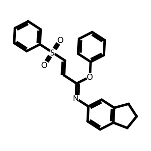 O=S(=O)(C=CC(=Nc1ccc2c(c1)CCC2)Oc1ccccc1)c1ccccc1